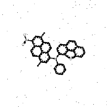 Cc1cc(N(c2ccccc2)c2ccc3ccc4cccc5oc2c3c45)c2ccc3c(C)cc([N+](=O)[O-])c4ccc1c2c34